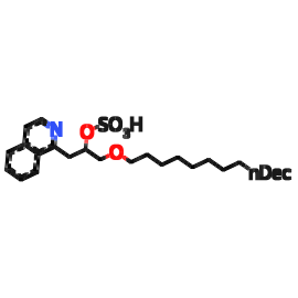 CCCCCCCCCCCCCCCCCCOCC(Cc1nccc2ccccc12)OS(=O)(=O)O